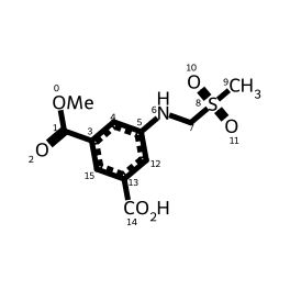 COC(=O)c1cc(NCS(C)(=O)=O)cc(C(=O)O)c1